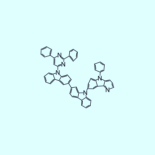 c1ccc(-c2cc(-n3c4ccccc4c4cc(-c5ccc6c7ccccc7n(-c7ccc8c(c7)c7ncccc7n8-c7ccccc7)c6c5)ccc43)nc(-c3ccccc3)n2)cc1